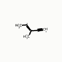 C#C/C(C)=C/[CH2]